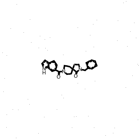 O=C(c1ccc2cc[nH]c2c1)N1CCC2(CC1)CCN(Cc1ccccc1)C2=O